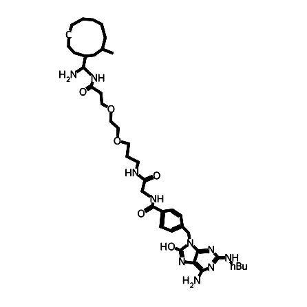 CCCCNc1nc(N)c2nc(O)n(Cc3ccc(C(=O)NCC(=O)NCCCOCCOCCC(=O)NC(N)C4CCCCCCCCC(C)C4)cc3)c2n1